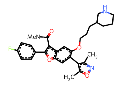 CNC(=O)c1c(-c2ccc(F)cc2)oc2cc(-c3c(C)noc3C)c(OCCCC3CCCNC3)cc12